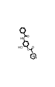 Cl.O=C(Nc1ccc(OC(=O)N2CCN3CCC2CC3)cc1)c1ccccc1